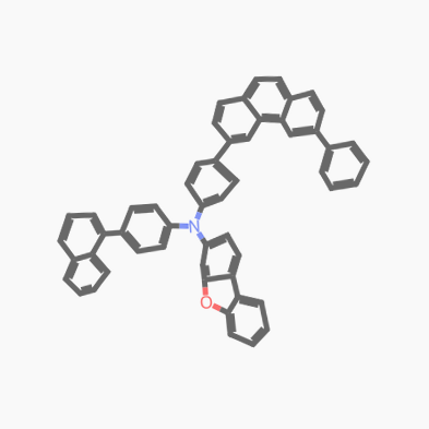 c1ccc(-c2ccc3ccc4ccc(-c5ccc(N(c6ccc(-c7cccc8ccccc78)cc6)c6ccc7c(c6)oc6ccccc67)cc5)cc4c3c2)cc1